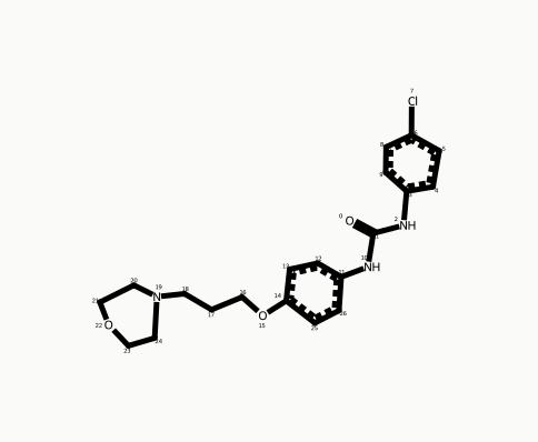 O=C(Nc1ccc(Cl)cc1)Nc1ccc(OCCCN2CCOCC2)cc1